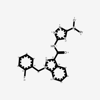 CC(C)[S+]([O-])c1nnc(NC(=O)c2nn(Cc3ccccc3F)c3ncccc23)s1